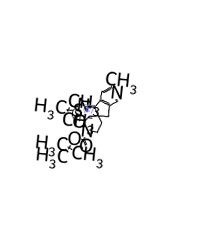 Cc1cc2c(cn1)CC1(CCN(C(=O)OC(C)(C)C)CC1)/C2=N\[S@+]([O-])C(C)(C)C